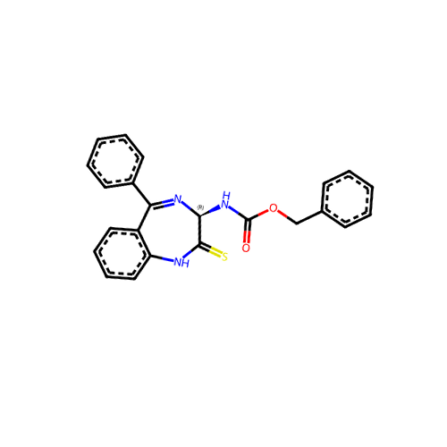 O=C(N[C@@H]1N=C(c2ccccc2)c2ccccc2NC1=S)OCc1ccccc1